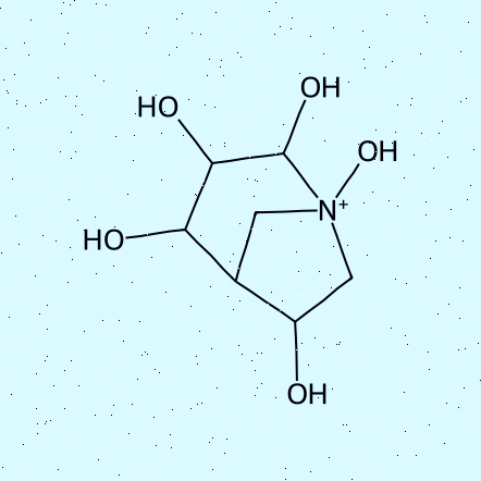 OC1C[N+]2(O)CC1C(O)C(O)C2O